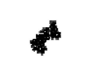 CC(C)[C@H](NC(=O)c1cc2ccccc2n1CC(=O)OC(C)(C)C)C(=O)NC(CC(=O)OC(C)(C)C)C(=O)COc1c(F)c(F)cc(F)c1F